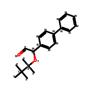 CC(C)(C)[Si](C)(C)O[C@@H](C=O)c1ccc(-c2ccccc2)cc1